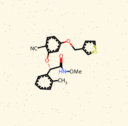 CONC(=O)[C@@H](Oc1cc(OCc2ccsc2)ccc1C#N)c1ccccc1C